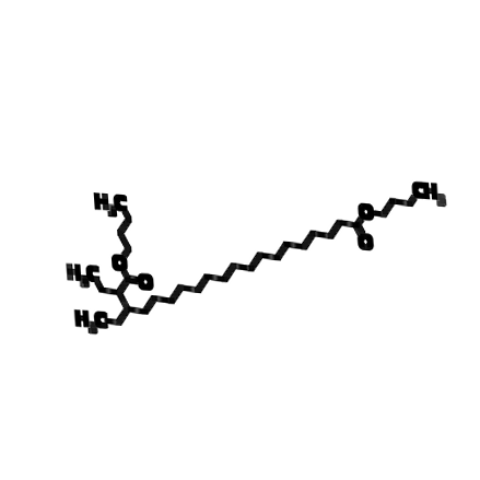 CCCCOC(=O)CCCCCCCCCCCCCCCCC(CC)C(CC)C(=O)OCCCC